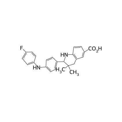 CC1(C)Cc2cc(C(=O)O)ccc2NC1c1ccc(Nc2ccc(F)cc2)cc1